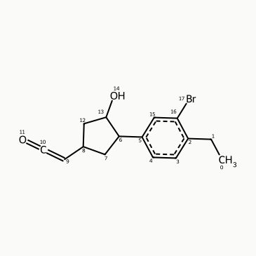 CCc1ccc(C2CC(C=C=O)CC2O)cc1Br